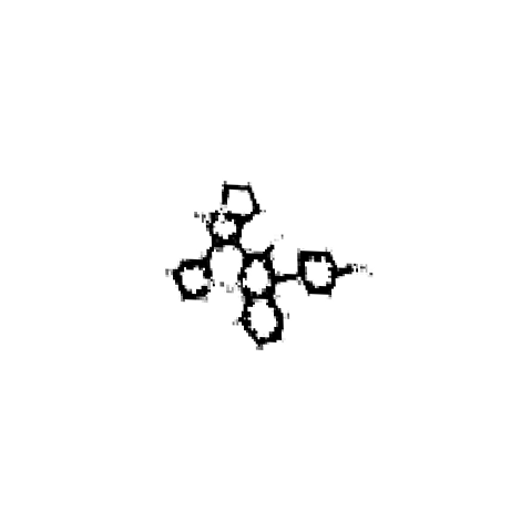 Nc1ccc(-c2c(F)c(-c3c(-c4ccccn4)nn4c3CCC4)nc3ccccc23)cc1